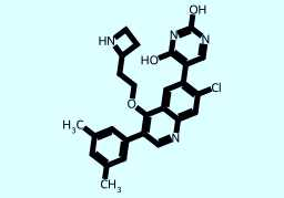 Cc1cc(C)cc(-c2cnc3cc(Cl)c(-c4cnc(O)nc4O)cc3c2OCCC2CCN2)c1